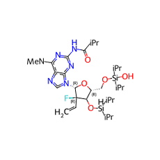 C=C[C@@]1(F)C(O[SiH](C(C)C)C(C)C)[C@@H](CO[Si](O)(C(C)C)C(C)C)O[C@H]1n1cnc2c(NC)nc(NC(=O)C(C)C)nc21